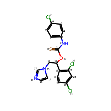 S=C(Nc1ccc(Cl)cc1)OC(Cn1ccnc1)c1ccc(Cl)cc1Cl